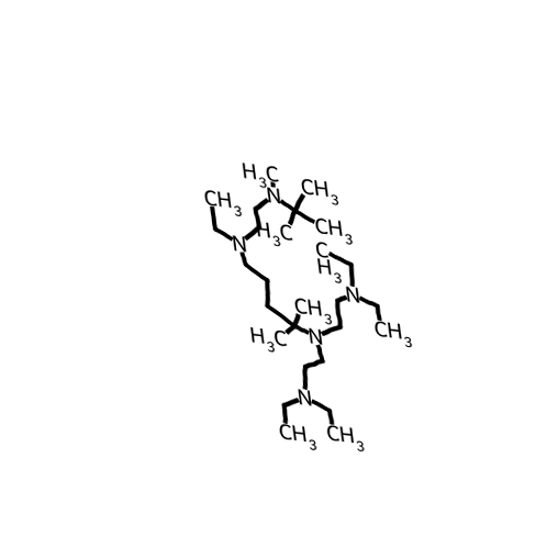 CCN(CC)CCN(CCN(CC)CC)C(C)(C)CCCN(CC)CCN(C)C(C)(C)C